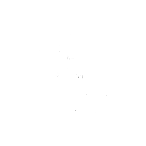 O=C(NCC12CC3CC(CC(C3)C1)C2)NC12CC3CC(CC(C3)C1)C2